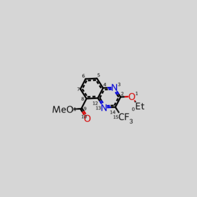 CCOc1nc2cccc(C(=O)OC)c2nc1C(F)(F)F